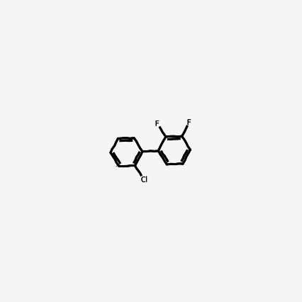 Fc1cccc(-c2ccc[c]c2Cl)c1F